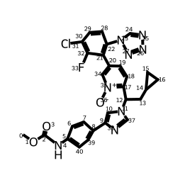 COC(=O)Nc1ccc(-c2cn(C(CC3CC3)c3ccc(-c4c(-n5cnnn5)ccc(Cl)c4F)c[n+]3[O-])cn2)cc1